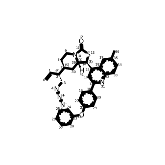 C=C[C@@H](CN=[N+]=[N-])[C@H]1CCN2C(=O)S[C@@H](c3cc(-c4ccc(Oc5ccccc5)cc4)nc4ccc(C)cc34)[C@@H]2C1